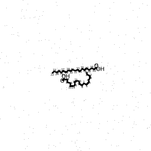 CC/C=C\C/C=C\C/C=C\C/C=C\C/C=C\CCCC(=O)O.CCC=CCC=CCC=CCC=CCC=CCCCC(=O)O